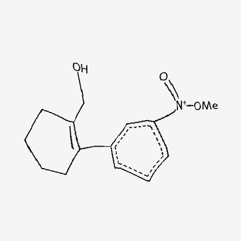 CO[N+](=O)c1cccc(C2=C(CO)CCCC2)c1